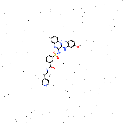 COc1ccc(N)c(Nc2nc3ccccc3nc2NS(=O)(=O)c2cccc(C(=O)NCCc3ccncc3)c2)c1